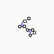 CC1C=C(Cn2c3ccccc3c3cc(-c4ccc5c(c4)c4ccccc4n5-c4ccccc4C4=CC=CCC4)ccc32)C=CC1c1ccccc1